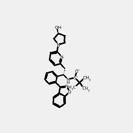 CC(C)(C)[S+]([O-])N[C@@H](Cc1cccc(N2CC[C@H](O)C2)n1)c1ccccc1-c1noc2ccccc12